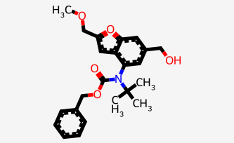 COCc1cc2c(N(C(=O)OCc3ccccc3)C(C)(C)C)cc(CO)cc2o1